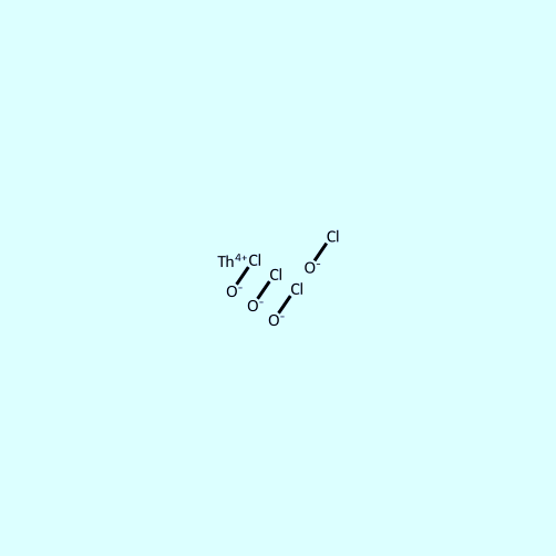 [O-]Cl.[O-]Cl.[O-]Cl.[O-]Cl.[Th+4]